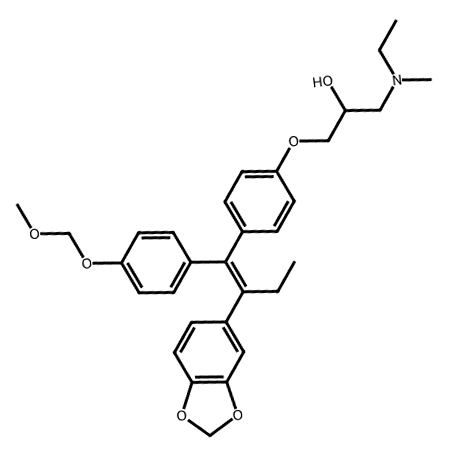 CCC(=C(c1ccc(OCOC)cc1)c1ccc(OCC(O)CN(C)CC)cc1)c1ccc2c(c1)OCO2